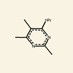 CCCc1nc(C)nc(C)c1C